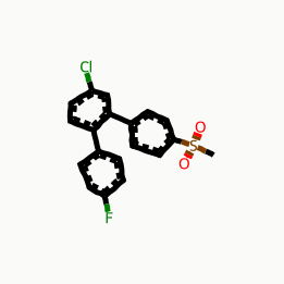 CS(=O)(=O)c1ccc(-c2cc(Cl)ccc2-c2ccc(F)cc2)cc1